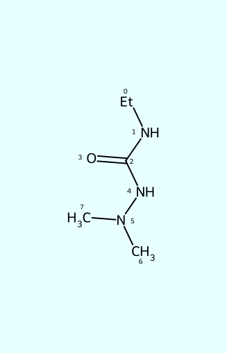 CCNC(=O)NN(C)C